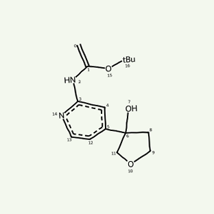 C=C(Nc1cc(C2(O)CCOC2)ccn1)OC(C)(C)C